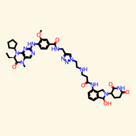 CC[C@@H]1C(=O)N(C)c2cnc(Nc3ccc(C(=O)NCc4cn(CCNCCC(=O)Nc5cccc6c5CN(C5CCC(=O)NC5=O)C6O)nn4)cc3OC)nc2N1C1CCCC1